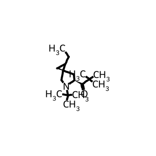 CCC1C[C@]12C[C@@H](C(=O)C(C)(C)C)N(C(C)(C)C)C2